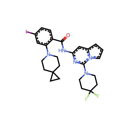 O=C(Nc1cc2cccn2c(N2CCC(F)(F)CC2)n1)c1ccc(I)cc1N1CCC2(CC1)CC2